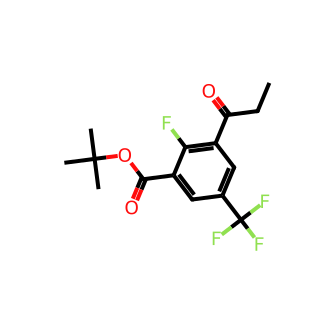 CCC(=O)c1cc(C(F)(F)F)cc(C(=O)OC(C)(C)C)c1F